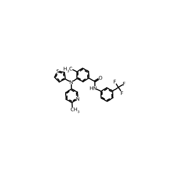 Cc1ccc(N(c2ccsc2)c2cc(C(=O)Nc3cccc(C(F)(F)F)c3)ccc2C)cn1